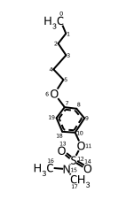 CCCCCCOc1ccc(OS(=O)(=O)N(C)C)cc1